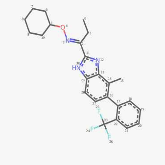 CC/C(=N\OC1CCCCC1)c1nc2c(C)c(-c3ccccc3C(F)(F)F)ccc2[nH]1